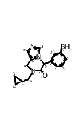 Bc1cccc(C2C(=O)N(CC3CC3)Cc3cncn32)c1